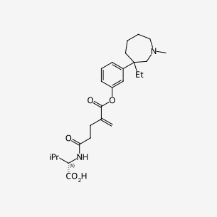 C=C(CCC(=O)N[C@H](C(=O)O)C(C)C)C(=O)Oc1cccc(C2(CC)CCCCN(C)C2)c1